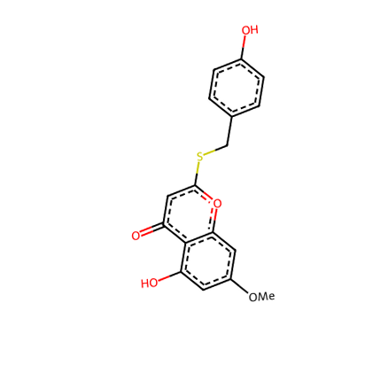 COc1cc(O)c2c(=O)cc(SCc3ccc(O)cc3)oc2c1